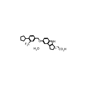 O.O=C(O)C[C@@H]1CCc2c1[nH]c1ccc(OCc3ccc(C4CCCC4)c(C(F)(F)F)c3)cc21